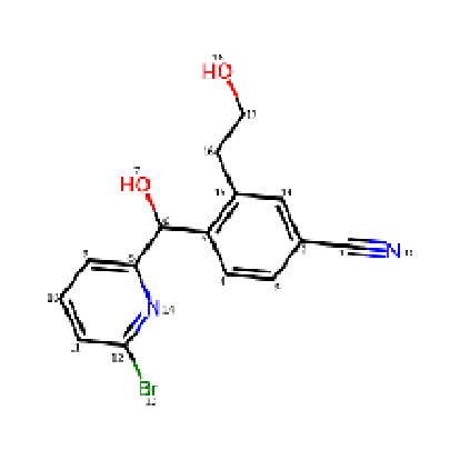 N#Cc1ccc(C(O)c2cccc(Br)n2)c(CCO)c1